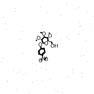 CO[C@H]1[C@@H](OC)[C@@H](CO)O[C@@H](Oc2ccc([N+](=O)[O-])cc2)[C@@H]1OC